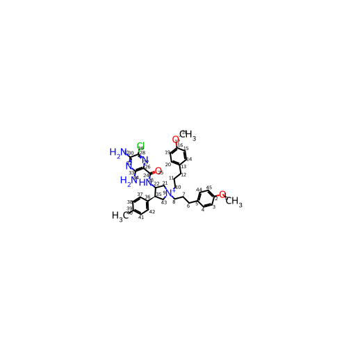 COc1ccc(CCC[N+]2(CCCc3ccc(OC)cc3)CC(NC(=O)c3nc(Cl)c(N)nc3N)[C@H](c3ccc(C)cc3)C2)cc1